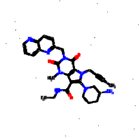 CC#CCn1c(N2CCC[C@@H](N)C2)c(C(=O)NCC(F)(F)F)c2c1c(=O)n(Cc1ccc3ncccc3n1)c(=O)n2C